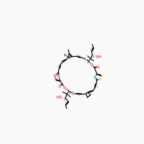 C/C=C/[C@H](O)C(C)(C)[C@@H]1C/C=C\C2CC/C2=C\C=C/c2nc(cs2)C(=O)O[C@H](C(C)(C)[C@@H](O)/C=C/C)C/C=C\C2=C(C)[C@H]2/C=C/C=C\c2nc(co2)C(=O)O1